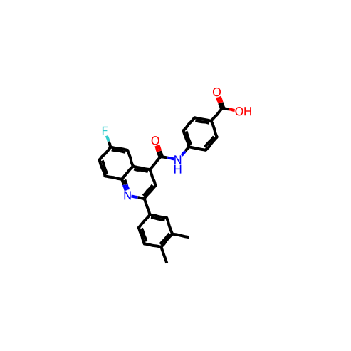 Cc1ccc(-c2cc(C(=O)Nc3ccc(C(=O)O)cc3)c3cc(F)ccc3n2)cc1C